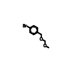 COCOCc1ccc(Br)cc1